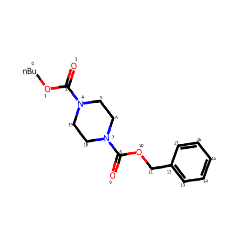 CCCCOC(=O)N1CCN(C(=O)OCc2ccccc2)CC1